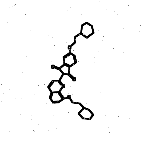 O=C1c2ccc(OCCC3CCCCC3)cc2C(=O)C1c1ccc2cccc(OCCC3CCCCC3)c2n1